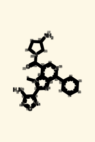 Cn1c(-c2nonc2N)nc2c(-c3ccccc3)ncc(C(=O)N3CCC(N)C3)c21